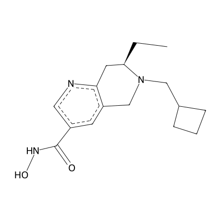 CC[C@@H]1Cc2ncc(C(=O)NO)cc2CN1CC1CCC1